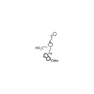 COc1ccc2nccc([C@H](F)CC[C@@H]3CCN(CCSC4CCCC4)C[C@H]3CCC(=O)O)c2c1